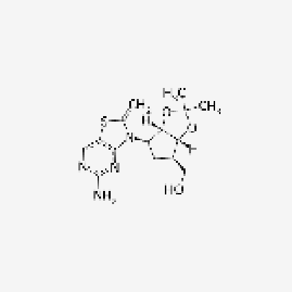 C=C1Sc2cnc(N)nc2N1[C@@H]1C[C@H](CO)[C@H]2OC(C)(C)O[C@H]21